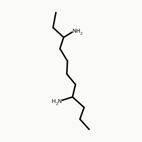 CCCC(N)CCCCC(N)CC